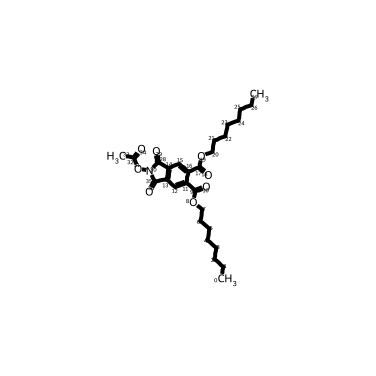 CCCCCCCCOC(=O)c1cc2c(cc1C(=O)OCCCCCCCC)C(=O)N(OC(C)=O)C2=O